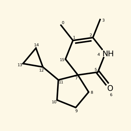 CC1=C(C)NC(=O)C2(CCCC2C2CC2)C1